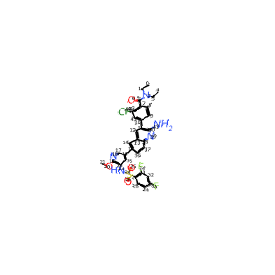 CCN(CC)C(=O)c1ccc(-c2cc3cc(-c4cnc(OC)c(NS(=O)(=O)c5ccc(F)cc5F)c4)ccc3nc2N)cc1Cl